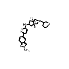 Cn1cc2cc(-c3ccc(NC4C[C@@H]5CN(CC6CCCOC6)C[C@@H]5C4)nn3)ccc2n1